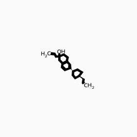 C=CCC1(O)CCc2cc([C@H]3CC[C@H](CC=C)CC3)ccc2C1